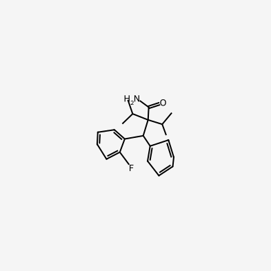 CC(C)C(C(N)=O)(C(C)C)C(c1ccccc1)c1ccccc1F